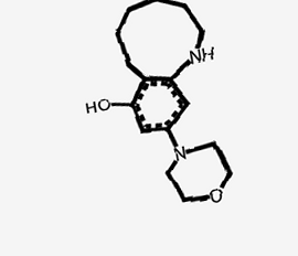 Oc1cc(N2CCOCC2)cc2c1CCCCCCN2